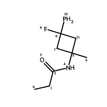 CCC(=O)NC1(C)CC(F)(P)C1